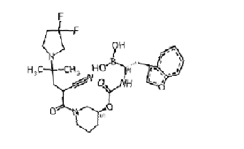 CC(C)(CC(C#N)C(=O)N1CCC[C@H](OC(=O)N[C@@H](Cc2coc3ccccc23)B(O)O)C1)N1CCC(F)(F)C1